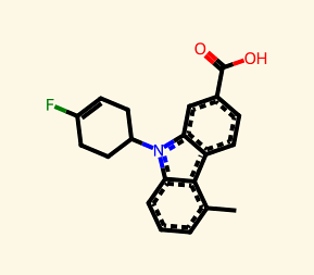 Cc1cccc2c1c1ccc(C(=O)O)cc1n2C1CC=C(F)CC1